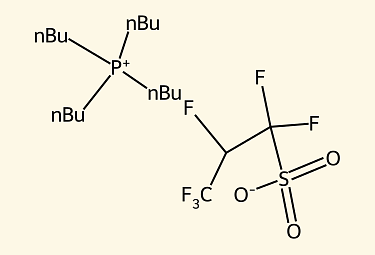 CCCC[P+](CCCC)(CCCC)CCCC.O=S(=O)([O-])C(F)(F)C(F)C(F)(F)F